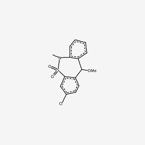 COC1c2ccccc2N(C)S(=O)(=O)c2cc(Cl)ccc21